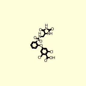 O=C1NC(=O)C(CNS(=O)(=O)c2ccccc2Oc2cc(Cl)c(C(=O)O)c(Cl)c2)N1